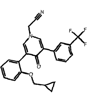 N#CCn1cc(-c2cccc(C(F)(F)F)c2)c(=O)c(-c2ccccc2OCC2CC2)c1